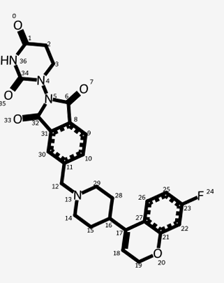 O=C1CCN(N2C(=O)c3ccc(CN4CCC(C5=CCOc6cc(F)ccc65)CC4)cc3C2=O)C(=O)N1